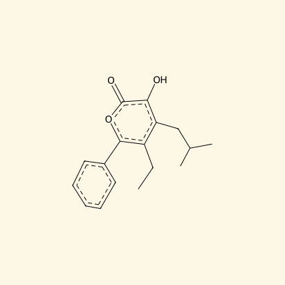 CCc1c(-c2ccccc2)oc(=O)c(O)c1CC(C)C